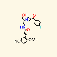 COc1ccc(C#N)cc1/C=C/C(=O)NCC[C@@H](CO)N1CC(C(=O)c2ccc(F)cc2)C1